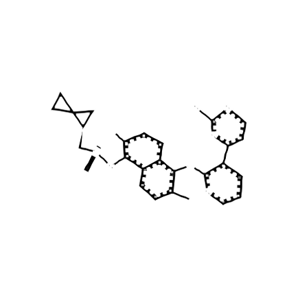 Cc1ccc2c(NS(=O)(=O)C[C@@H]3CC34CC4)c(F)ccc2c1Oc1ncccc1-c1ccnc(N)n1